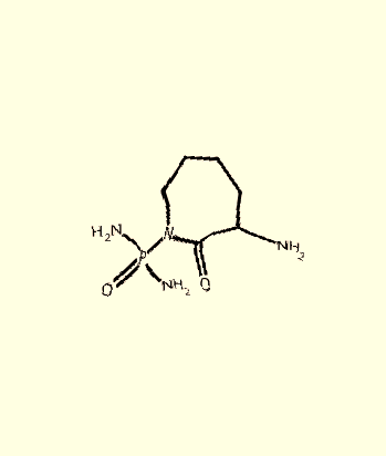 NC1CCCCN(P(N)(N)=O)C1=O